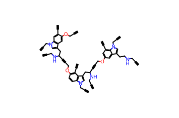 C#CCNCCc1cn(CC#C)c2c(C#C)cc(OCC#CC(Cc3cn(CC#C)c4ccc(OCC#CC(Cc5cn(CC#C)c6cc(C#C)c(OCC#C)cc56)NCC#C)c(C#C)c34)NCC#C)cc12